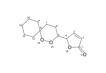 O=C1C=CC(C2CCC3(CCCCC3)OO2)O1